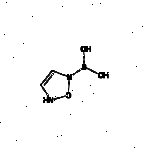 OB(O)N1C=CNO1